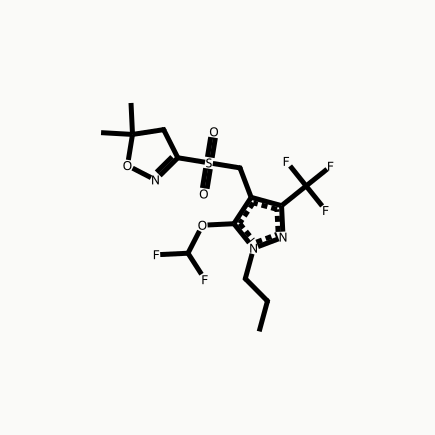 CCCn1nc(C(F)(F)F)c(CS(=O)(=O)C2=NOC(C)(C)C2)c1OC(F)F